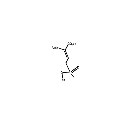 CCOC(=O)C(=CCP(C)(=O)OCC)NC(C)=O